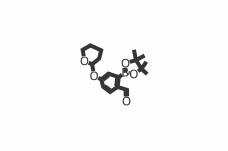 CC1(C)OB(c2cc(OC3CCCCO3)ccc2C=O)OC1(C)C